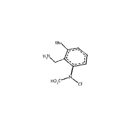 CC(C)(C)c1cccc(N(Cl)C(=O)O)c1CN